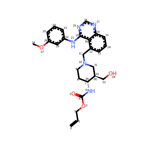 C=CCOC(=O)N[C@@H]1CCN(Cc2cccc3ncnc(Nc4cccc(OC)c4)c23)C[C@H]1CO